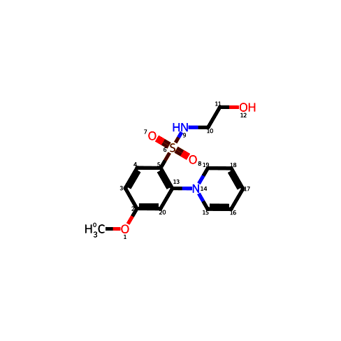 COc1ccc(S(=O)(=O)NCCO)c(N2C=CC=CC2)c1